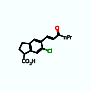 CCCC(=O)C=Cc1cc2c(cc1Cl)C(C(=O)O)CC2